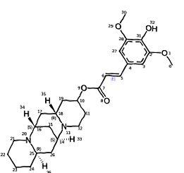 COc1cc(/C=C/C(=O)OC2CCN3[C@@H]4C[C@@H](C[C@@H]3C2)N2CCCC[C@@H]2C4)cc(OC)c1O